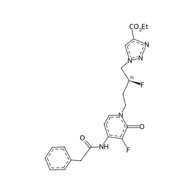 CCOC(=O)c1cn(C[C@@H](F)CCn2ccc(NC(=O)Cc3ccccc3)c(F)c2=O)nn1